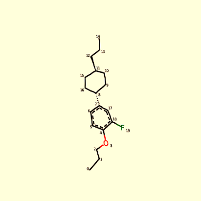 CCCOc1ccc([C@H]2CC[C@H](CCC)CC2)cc1F